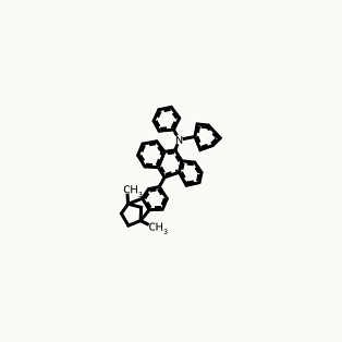 CC12CCC(C)(C1)c1cc(-c3c4ccccc4c(N(c4ccccc4)c4ccccc4)c4ccccc34)ccc12